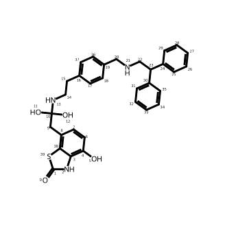 O=c1[nH]c2c(O)ccc(CC(O)(O)NCCc3ccc(CNCC(c4ccccc4)c4ccccc4)cc3)c2s1